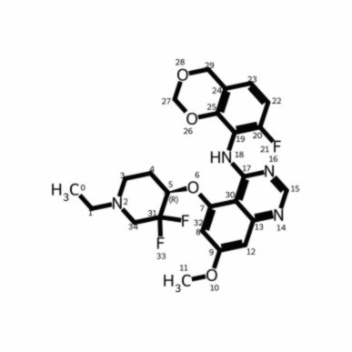 CCN1CC[C@@H](Oc2cc(OC)cc3ncnc(Nc4c(F)ccc5c4OCOC5)c23)C(F)(F)C1